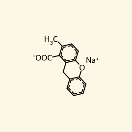 Cc1ccc2c(c1C(=O)[O-])Cc1ccccc1O2.[Na+]